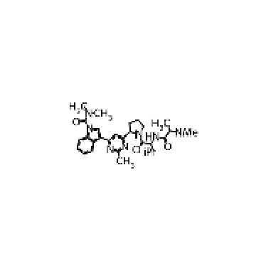 CNC(C)C(=O)NC(C(=O)N1CCCC1c1cc(-c2cn(C(=O)N(C)C)c3ccccc23)nc(C)n1)C(C)C